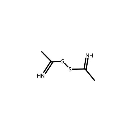 CC(=N)SSC(C)=N